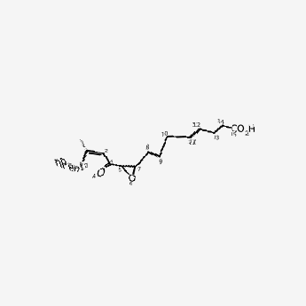 CCCCC/C=C\C(=O)C1OC1CCCCCCCC(=O)O